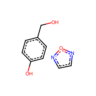 OCc1ccc(O)cc1.c1cnon1